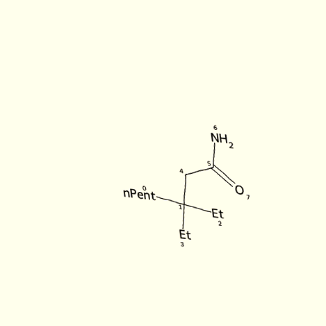 CCCCCC(CC)(CC)CC(N)=O